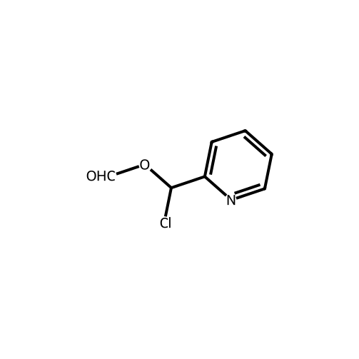 O=COC(Cl)c1ccccn1